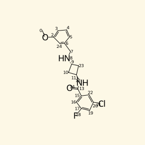 COc1cccc(CN[C@H]2C[C@H](NC(=O)c3cc(F)cc(Cl)c3)C2)c1